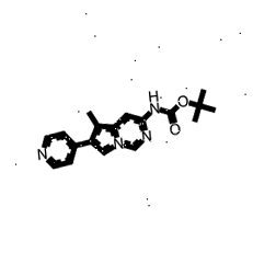 Cc1c(-c2ccncc2)cn2cnc(NC(=O)OC(C)(C)C)cc12